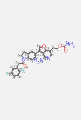 NC(=O)OCCc1cnc(N)c2c(-c3ccc4c(c3)CCN4C(=O)Cc3cc(F)ccc3F)coc12